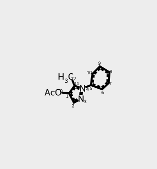 CC(=O)Oc1cnn(-c2ccccc2)c1C